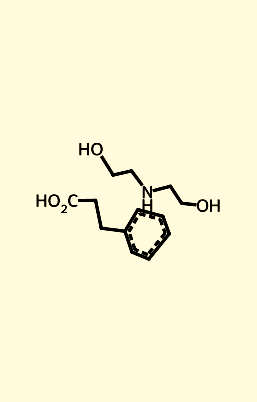 O=C(O)CCc1ccccc1.OCCNCCO